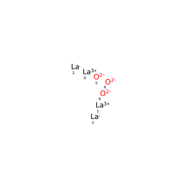 [La+3].[La+3].[La].[La].[O-2].[O-2].[O-2]